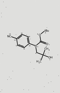 CC(C)(O)CN(C(=O)OC(C)(C)C)c1ccc(C#N)cc1